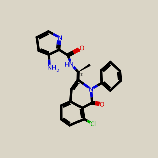 C[C@H](NC(=O)c1ncccc1N)c1cc2cccc(Cl)c2c(=O)n1-c1ccccc1